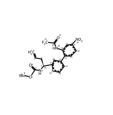 C=CC[C@H](NC(=O)OC(C)(C)C)c1cc(-c2ccc([N+](=O)[O-])cc2NC(=O)C(F)(F)F)ccn1